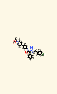 CC(=O)N1CCC(c2ccc(NC(=O)[C@H](NCCc3ccc(Cl)cc3)c3ccccc3)cc2)CC1